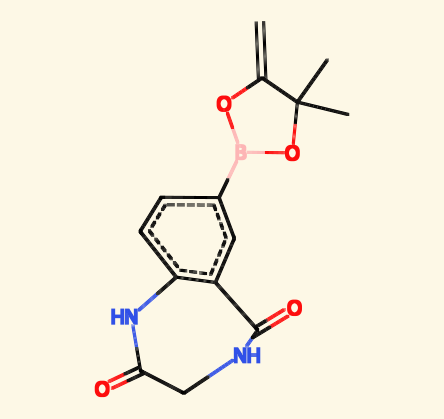 C=C1OB(c2ccc3c(c2)C(=O)NCC(=O)N3)OC1(C)C